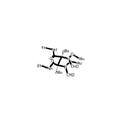 CCCC[C@](C(=O)NCC)(N(C=O)OC(C)(C)C)[C@](CCCC)(C(=O)NCC)N(C=O)OC(C)(C)C